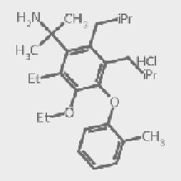 CCOc1c(CC)c(C(C)(C)N)c(CC(C)C)c(CC(C)C)c1Oc1ccccc1C.Cl